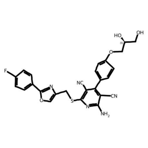 N#Cc1c(N)nc(SCc2coc(-c3ccc(F)cc3)n2)c(C#N)c1-c1ccc(OC[C@@H](O)CO)cc1